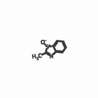 Cc1nc2ccccc2[s+]1[O-]